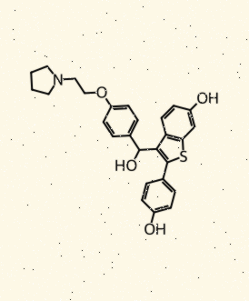 Oc1ccc(-c2sc3cc(O)ccc3c2C(O)c2ccc(OCCN3CCCC3)cc2)cc1